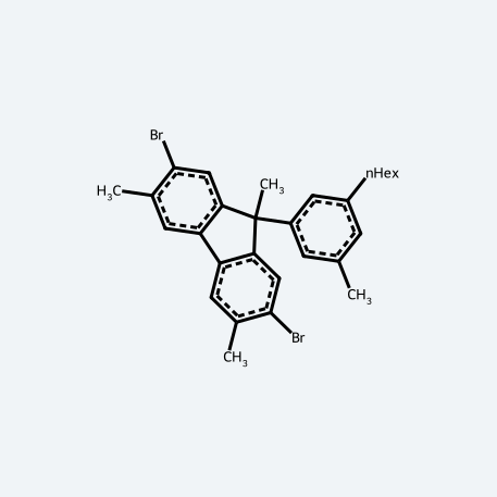 CCCCCCc1cc(C)cc(C2(C)c3cc(Br)c(C)cc3-c3cc(C)c(Br)cc32)c1